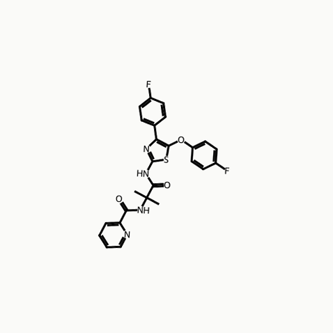 CC(C)(NC(=O)c1ccccn1)C(=O)Nc1nc(-c2ccc(F)cc2)c(Oc2ccc(F)cc2)s1